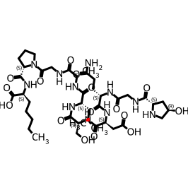 CCCCC[C@H](NC(=O)[C@@H]1CCCN1C(=O)CNC(=O)[C@H](C)NC(=O)[C@H](CC(C)C)NC(=O)[C@H](CO)NC(=O)[C@H](CC(=O)O)NC(=O)[C@H](CCC(N)=O)NC(=O)CNC(=O)[C@@H]1C[C@@H](O)CN1)C(=O)O